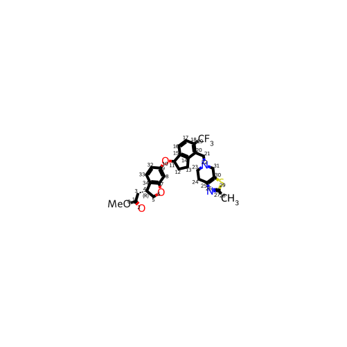 COC(=O)C[C@H]1COc2cc(OC3CCc4c3ccc(C(F)(F)F)c4CN3CCc4nc(C)sc4C3)ccc21